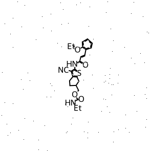 CCNC(=O)OCC1CCc2c(sc(NC(=O)/C=C/c3ccccc3OCC)c2C#N)C1